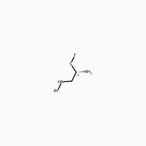 CC(C)NC[C@@H](N)SF